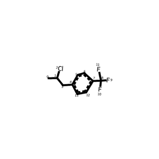 CC(Cl)Cc1ccc(C(F)(F)F)cc1